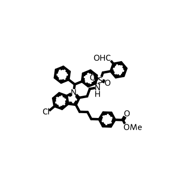 COC(=O)c1ccc(CCCc2c(CCNS(=O)(=O)Cc3ccccc3C=O)n(C(c3ccccc3)c3ccccc3)c3ccc(Cl)cc23)cc1